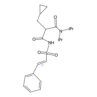 CC(C)N(C(=O)C(CC1CC1)C(=O)NS(=O)(=O)/C=C/c1ccccc1)C(C)C